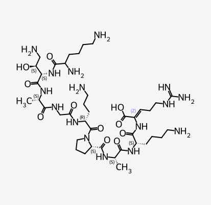 C[C@H](NC(=O)[C@@H](NC(=O)C(N)CCCCN)[C@@H](O)CN)C(=O)NCC(=O)N[C@H](CCCN)C(=O)N1CCC[C@H]1C(=O)N[C@@H](C)C(=O)N[C@@H](CCCCN)C(=O)N/C(=C\CCNC(=N)N)C(=O)O